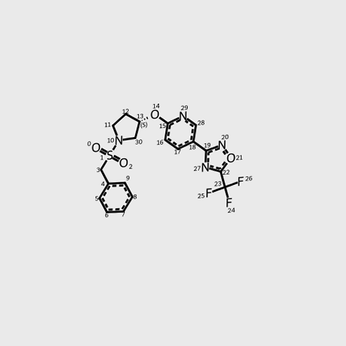 O=S(=O)(Cc1ccccc1)N1CC[C@H](Oc2ccc(-c3noc(C(F)(F)F)n3)cn2)C1